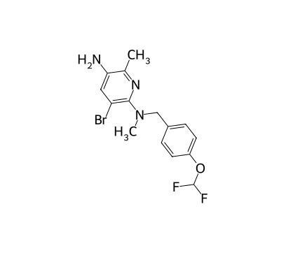 Cc1nc(N(C)Cc2ccc(OC(F)F)cc2)c(Br)cc1N